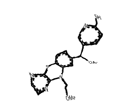 COCN1c2cc(C(OC(C)=O)c3ccc(S)nc3)ccc2Sc2nccnc21